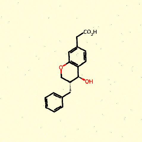 O=C(O)Cc1ccc2c(c1)OC[C@@H](Cc1ccccc1)[C@@H]2O